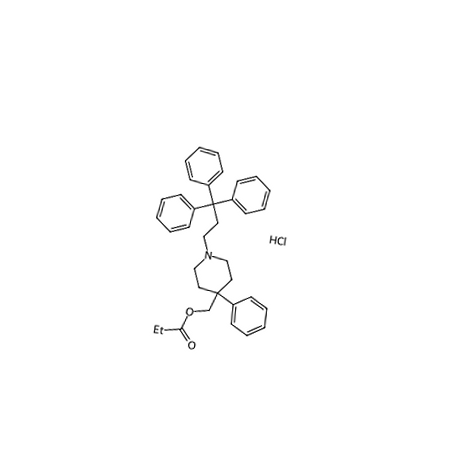 CCC(=O)OCC1(c2ccccc2)CCN(CCC(c2ccccc2)(c2ccccc2)c2ccccc2)CC1.Cl